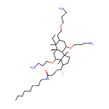 CCCCCCCCNC(=O)CC[C@@H](C)C1CC[C@H]2C3[C@H](OCCCN)CC(CCOCCCN)C(C)(CC)[C@H]3C[C@H](OCCCN)C12C